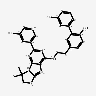 CC1(C)CSc2nc3c(NCCc4ccc(O)c(-c5cccc(F)c5)c4)nc(-c4cncc(F)c4)nc3n21